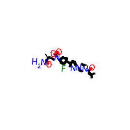 CC(C)=CC(=O)N1CCN(c2ccc(-c3ccc(N4CC([C@H](C)C(N)=O)OC4=O)cc3F)cn2)CC1